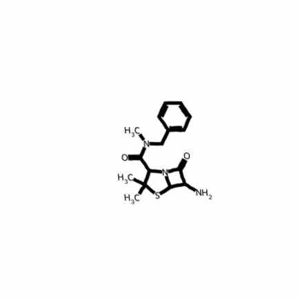 CN(Cc1ccccc1)C(=O)C1N2C(=O)C(N)C2SC1(C)C